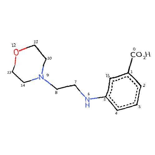 O=C(O)c1cccc(NCCN2CCOCC2)c1